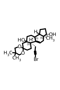 CC1(C)COC2(CC[C@]3(CC#CBr)C4=CC[C@]5(C)[C@@H](O)CC[C@H]5[C@@H]4CC[C@@]3(O)C2)OC1